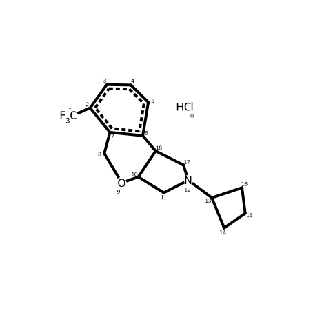 Cl.FC(F)(F)c1cccc2c1COC1CN(C3CCC3)CC21